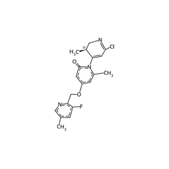 Cc1cnc(COc2cc(C)n(C3=CC(Cl)=NC[C@@H]3C)c(=O)c2)c(F)c1